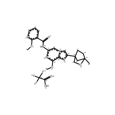 COc1ncccc1C(=O)Nc1cn2cc(C34CCC(C)(C3)OC4)nc2c(OC)n1.O=C(O)C(F)(F)F